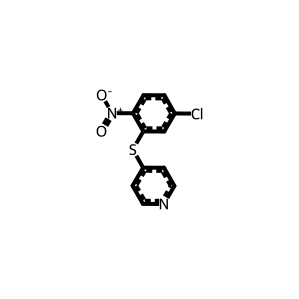 O=[N+]([O-])c1ccc(Cl)cc1Sc1ccncc1